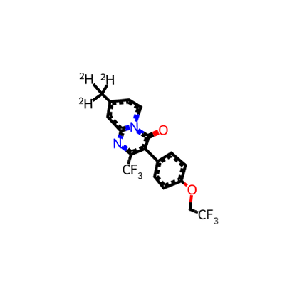 [2H]C([2H])([2H])c1ccn2c(=O)c(-c3ccc(OCC(F)(F)F)cc3)c(C(F)(F)F)nc2c1